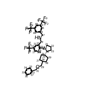 FC(F)(F)c1cc(CNCc2cc(C(F)(F)F)cnc2N2CCC[C@@H]2C2CCC(COCc3ccccc3)CC2)cc(C(F)(F)F)c1